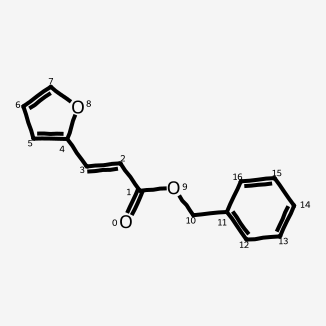 O=C(C=Cc1ccco1)OCc1ccccc1